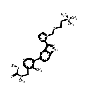 Cc1c(CN(C)C(=O)OC(C)(C)C)cncc1-c1ccc2[nH]nc(-c3nccn3COCC[Si](C)(C)C)c2c1